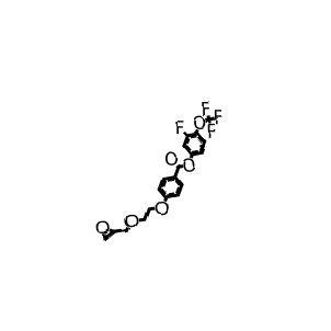 O=C(Oc1ccc(OC(F)(F)F)c(F)c1)c1ccc(OCCOCC2CO2)cc1